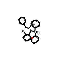 O=P(c1ccccc1)(c1ccccc1)C(c1ccccc1Br)N(O)Cc1ccccc1